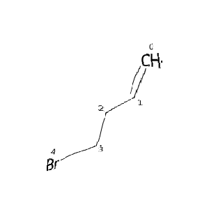 [CH]=CC[CH]Br